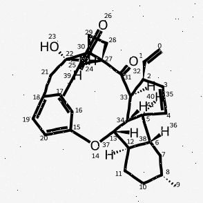 C=C[C@H]1C=C[C@H]2[C@@H]3C[C@H](C)CC[C@H]3[C@@H]3Oc4ccc(cc4)C[C@]4(O)NC(=O)[C@@]5(CC[C@H]54)C(=O)[C@@H]1[C@H]23